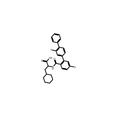 O=C(NC(CC1CCCCC1)C(=O)O)c1ccc(Cl)cc1-c1ccc(-c2ccccc2)c(F)c1